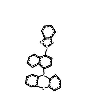 c1ccc2c(c1)Oc1ccccc1N2c1ccc(-n2nc3ccccc3n2)c2ccccc12